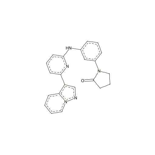 O=C1CCCN1c1cccc(Nc2cccc(-c3cnn4ccccc34)n2)c1